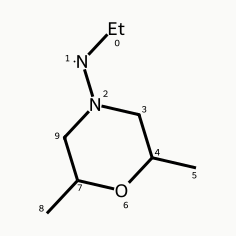 CC[N]N1CC(C)OC(C)C1